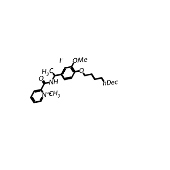 CCCCCCCCCCCCCCOc1ccc(C(C)NC(=O)c2cccc[n+]2C)cc1OC.[I-]